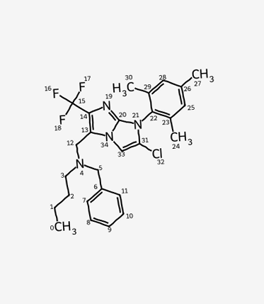 CCCCN(Cc1ccccc1)Cc1c(C(F)(F)F)nc2n(-c3c(C)cc(C)cc3C)c(Cl)cn12